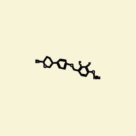 CCCCOc1ccc(COc2ccc(C3CCC(CC)OC3)cc2)c(F)c1F